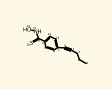 CCCC#Cc1ccc(C(=S)NO)cc1